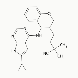 CC(C)(C#N)CCC1COc2ccccc2C1NC1=NC=NC2NC(C3CC3)=CC12